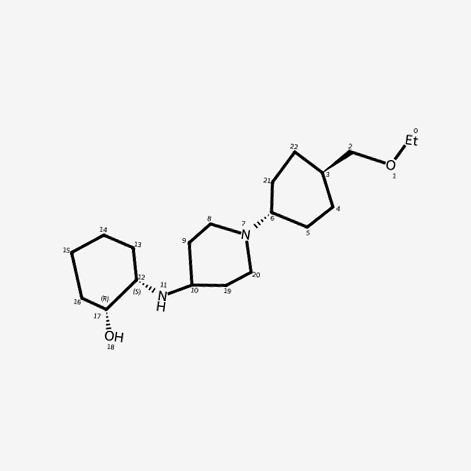 CCOC[C@H]1CC[C@H](N2CCC(N[C@H]3CCCC[C@H]3O)CC2)CC1